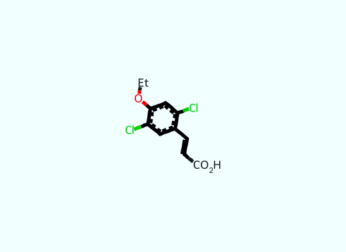 CCOc1cc(Cl)c(/C=C/C(=O)O)cc1Cl